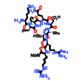 CCCC[C@H](NC(=O)[C@@H](NC(=O)[C@H](CC(=O)O)NC(=O)[C@H](CCC(N)=O)NC(=O)[C@H](CC(C)C)NC(=O)[C@H](CC(C)C)NC(=O)[C@@H](N)CCCCN)[C@@H](C)CC)C(=O)N[C@H](CCCNC(=N)N)C(=O)N[C@@H](CCCCNC(=N)N)C(=O)NC